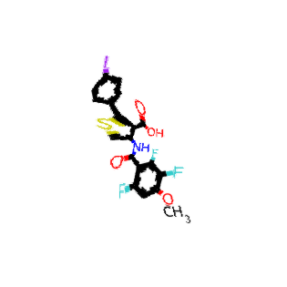 COc1cc(F)c(C(=O)Nc2csc(-c3ccc(I)cc3)c2C(=O)O)c(F)c1F